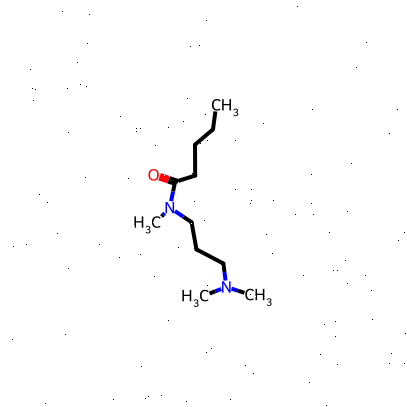 CCCCC(=O)N(C)CCCN(C)C